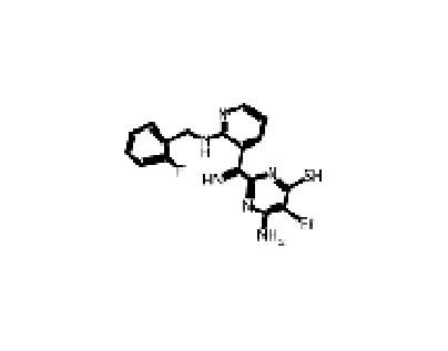 CCc1c(N)nc(C(=N)c2cccnc2NCc2ccccc2F)nc1S